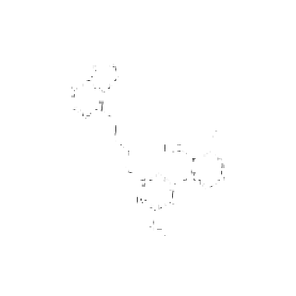 Cc1c(Cl)cccc1-c1cc(NCCOc2nccc3occc23)nc(N)n1